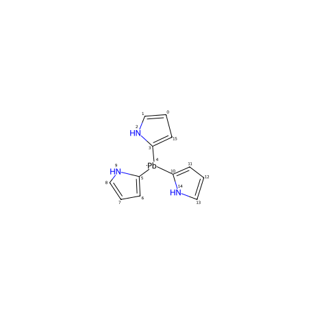 c1c[nH][c]([Pb]([c]2ccc[nH]2)[c]2ccc[nH]2)c1